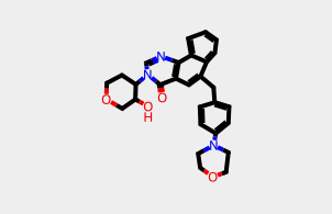 O=c1c2cc(Cc3ccc(N4CCOCC4)cc3)c3ccccc3c2ncn1C1CCOCC1O